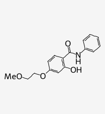 COCCOc1ccc(C(=O)Nc2ccccc2)c(O)c1